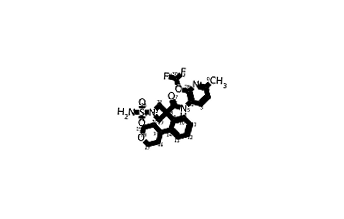 Cc1ccc(NC(=O)C2(c3ccccc3C3CCOCC3)CN(S(N)(=O)=O)C2)c(OC(F)F)n1